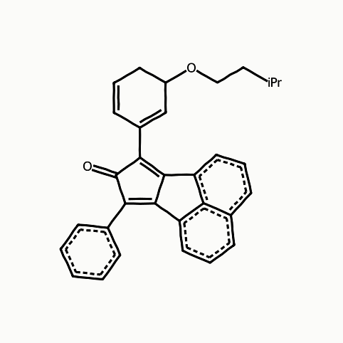 CC(C)CCOC1C=C(C2=C3C(=C(c4ccccc4)C2=O)c2cccc4cccc3c24)C=CC1